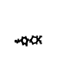 O=[N+]([O-])c1ccc(N2CCC(F)(F)CC2)nc1